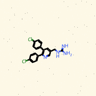 N=C(N)NCc1cnc(-c2ccc(Cl)cc2)c(-c2ccc(Cl)cc2)c1